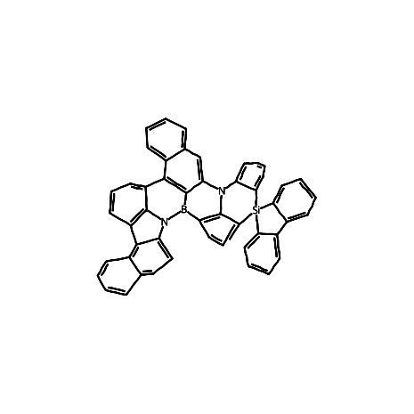 c1ccc2c(c1)-c1ccccc1[Si]21c2ccccc2N2c3cc4ccccc4c4c3B(c3cccc1c32)n1c2ccc3ccccc3c2c2cccc-4c21